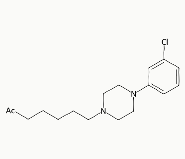 CC(=O)CCCCCN1CCN(c2cccc(Cl)c2)CC1